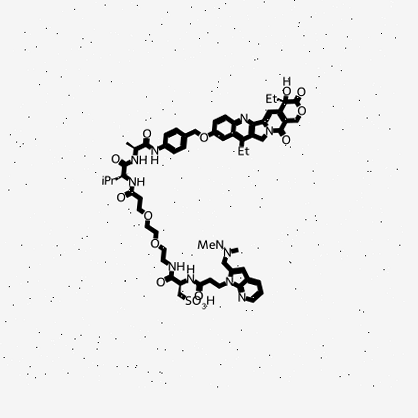 CCc1c2c(nc3ccc(OCc4ccc(NC(=O)[C@H](C)NC(=O)[C@@H](NC(=O)CCOCCOCCNC(=O)[C@H](CS(=O)(=O)O)NC(=O)CCn5c(CN(C)NC)cc6cccnc65)C(C)C)cc4)cc13)-c1cc3c(c(=O)n1C2)COC(=O)[C@]3(O)CC